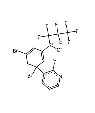 [O-][S+](C1=CC(Br)(c2cccnc2F)[CH]C(Br)=C1)C(F)(F)C(F)(F)C(F)(F)F